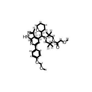 COCOc1ccc(-c2cc(C(C3CCCCO3)N3CC(C)(C)N(C(=O)COC)CC3(C)C)c3c(C)n[nH]c3n2)cc1